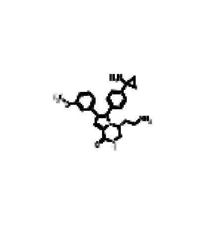 NCC[C@H]1CNC(=O)c2cc(-c3cccc(OC(F)(F)F)c3)c(-c3ccc(C4(N)CC4)cc3)n21